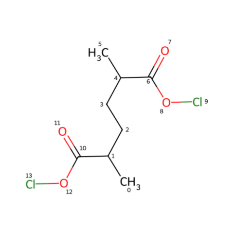 CC(CCC(C)C(=O)OCl)C(=O)OCl